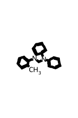 Cc1ccccc1N1CN(c2ccccc2)c2ccccc21